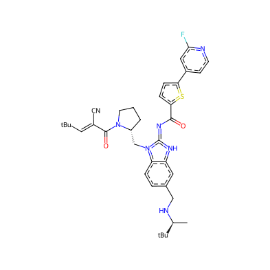 C[C@H](NCc1ccc2c(c1)[nH]/c(=N\C(=O)c1ccc(-c3ccnc(F)c3)s1)n2C[C@H]1CCCN1C(=O)/C(C#N)=C/C(C)(C)C)C(C)(C)C